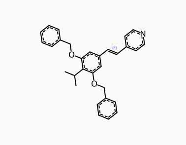 CC(C)c1c(OCc2ccccc2)cc(/C=C/c2ccncc2)cc1OCc1ccccc1